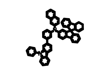 C1=CC2=C(CC1)c1ccccc1C21c2ccccc2-c2ccc(N(c3cccc(-c4ccc5c6ccccc6n(-c6ccccc6)c5c4)c3)c3ccc4ccccc4c3)cc21